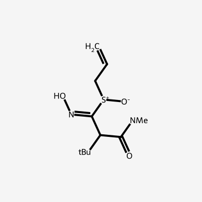 C=CC[S+]([O-])C(=NO)C(C(=O)NC)C(C)(C)C